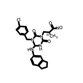 C[C@@H](CN1C(=O)NC(Nc2ccc3c(c2)CCC3)N(Cc2ccc(Cl)cc2)C1=O)C(=O)N=O